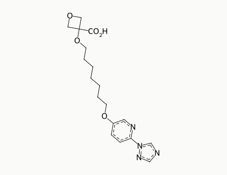 O=C(O)C1(OCCCCCCCOc2ccc(-n3cncn3)nc2)COC1